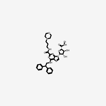 CCNC(=O)[C@H]1O[C@@H](n2cnc3c(NCC(c4ccccc4)c4ccccc4)nc(C(=O)NCCCN4CCOCC4)nc32)[C@@H](O)[C@@H]1O